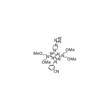 COCCN(CCOC)c1nc(N2CCN(c3ncn(C)n3)CC2)c2nc(N(CCOC)CCOC)nc(N(C)Cc3cccc(C#N)c3)c2n1